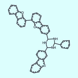 c1ccc(C2NC(c3ccc4c(c3)oc3c(-c5cccc6c5oc5ccccc56)cccc34)NC(c3ccc4c(c3)sc3ccccc34)N2)cc1